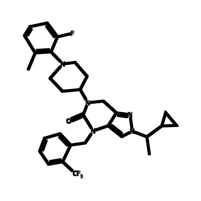 Cc1cccc(F)c1N1CCC(N2Cc3nn(C(C)C4CC4)cc3N(Cc3ccccc3C(F)(F)F)C2=O)CC1